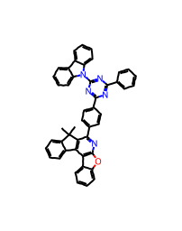 CC1(C)c2ccccc2-c2c1c(-c1ccc(-c3nc(-c4ccccc4)nc(-n4c5ccccc5c5ccccc54)n3)cc1)nc1oc3ccccc3c21